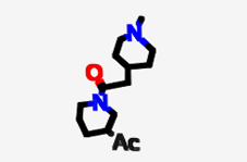 CC(=O)C1CCCN(C(=O)CC2CCN(C)CC2)C1